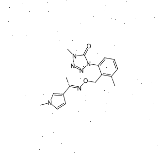 CC(=NOCc1c(C)cccc1-n1nnn(C)c1=O)c1ccn(C)c1